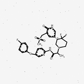 CC(C(=O)Nc1ccc(Oc2ccc(F)cc2)cn1)N1CCC(F)(F)[C@@H](c2c[nH]c(=O)c(CS(C)(=O)=O)c2)C1